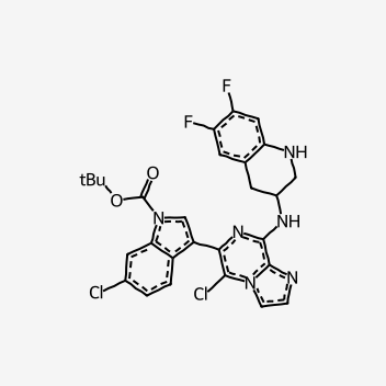 CC(C)(C)OC(=O)n1cc(-c2nc(NC3CNc4cc(F)c(F)cc4C3)c3nccn3c2Cl)c2ccc(Cl)cc21